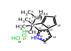 C[SiH](C)[Zr]([CH3])([CH3])([CH3])([C]1=CC=CC1)[c]1ccc[nH]1.Cl.Cl